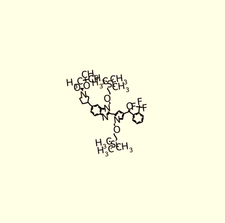 CC(C)(C)OC(=O)N1CCC(c2ccc3nc(-c4cc(C(=O)c5ccccc5C(F)(F)F)cn4COCC[Si](C)(C)C)n(COCC[Si](C)(C)C)c3c2)C1